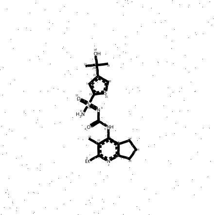 CCc1nc2c(c(NC(=O)N=S(N)(=O)c3cc(C(C)(C)O)cs3)c1C)CCC2